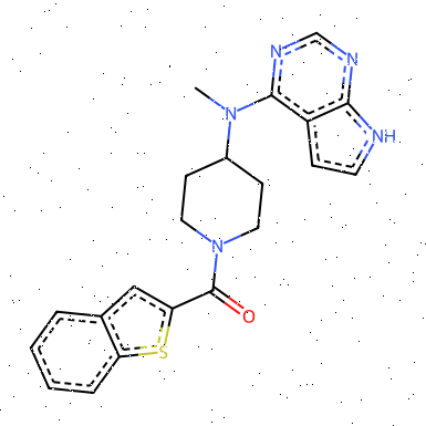 CN(c1ncnc2[nH]ccc12)C1CCN(C(=O)c2cc3ccccc3s2)CC1